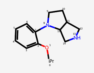 CC(C)Oc1ccccc1N1CCC2CNCC21